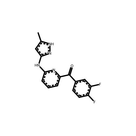 Cc1cc(Nc2cccc(C(=O)c3ccc(F)c(F)c3)n2)n[nH]1